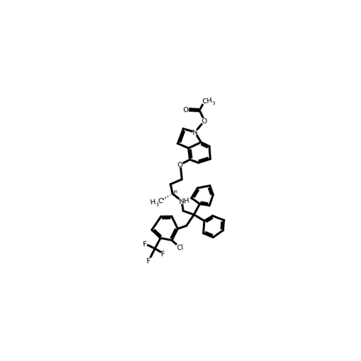 CC(=O)On1ccc2c(OCC[C@@H](C)NCC(Cc3cccc(C(F)(F)F)c3Cl)(c3ccccc3)c3ccccc3)cccc21